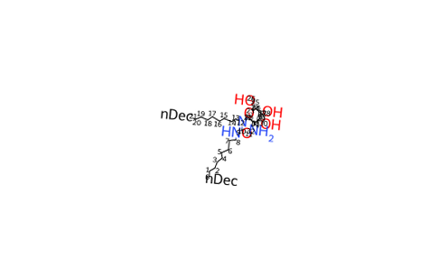 CCCCCCCCCCCCCCCCCCNC(=O)N(CCCCCCCCCCCCCCCCCC)[C@@H]1O[C@H](CO)[C@H](O)[C@H](O)[C@H]1N